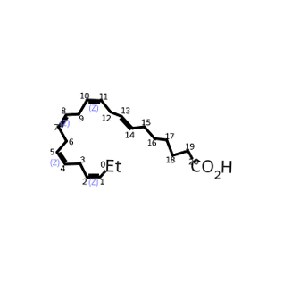 CC/C=C\C/C=C\C/C=C\C/C=C\CC=CCCCCCC(=O)O